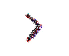 C[n+]1cc2c(o1)CCCC2.C[n+]1cc2c(o1)CCCC2.C[n+]1cc2c(o1)CCCC2.C[n+]1cc2c(o1)CCCC2.C[n+]1cc2c(o1)CCCC2.C[n+]1cc2c(o1)CCCC2.C[n+]1cc2c(o1)CCCC2.C[n+]1cc2c(o1)CCCC2.[O-]B([O-])F.[O-]B([O-])F.[O-]B([O-])F.[O-]B([O-])F